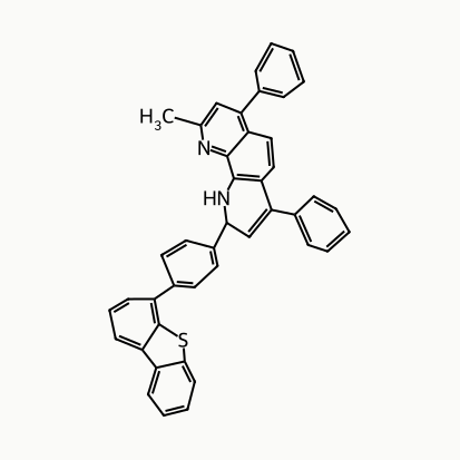 Cc1cc(-c2ccccc2)c2ccc3c(c2n1)NC(c1ccc(-c2cccc4c2sc2ccccc24)cc1)C=C3c1ccccc1